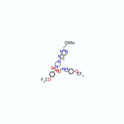 COCCc1ncc2sc(N3CCN(S(=O)(=O)c4ccc(OC(F)(F)F)cc4)[C@@H](C(=O)NCc4ccc(OC(F)(F)F)cc4)C3)nc2n1